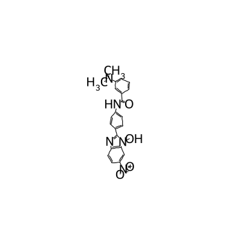 CN(C)c1cccc(C(=O)Nc2ccc(-c3nc4ccc([N+](=O)[O-])cc4n3O)cc2)c1